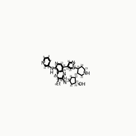 CCc1nc2c(Nc3cccnc3)ncc(-c3cnn(C4CCNCC4)c3)c2nc1N[C@@H]1CC[C@H](O)C1